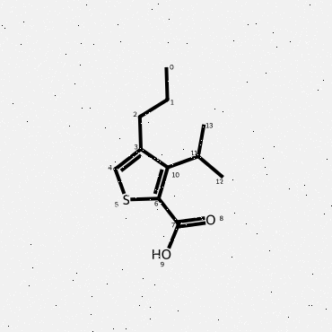 CCCc1csc(C(=O)O)c1C(C)C